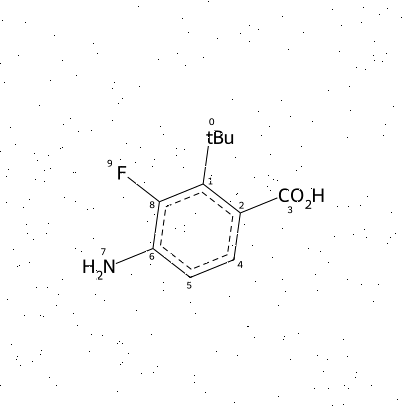 CC(C)(C)c1c(C(=O)O)ccc(N)c1F